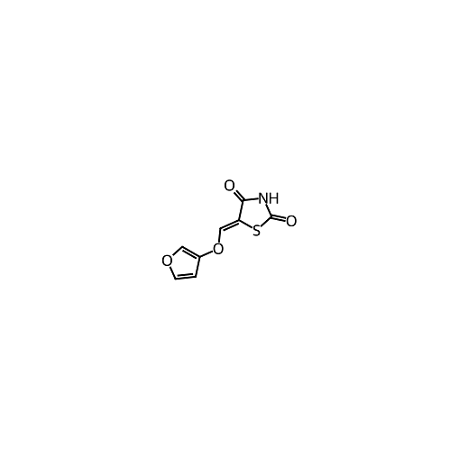 O=C1NC(=O)C(=COc2ccoc2)S1